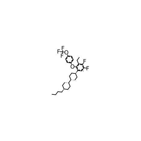 CCCC[C@H]1CC[C@H]([C@H]2CC[C@H](c3[c]c(F)c(F)c(CC)c3Oc3ccc(OC(F)(F)F)cc3)CC2)CC1